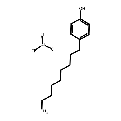 CCCCCCCCCc1ccc(O)cc1.[Cl][Al]([Cl])[Cl]